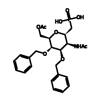 CC(=O)N[C@H]1[C@@H](OCc2ccccc2)[C@H](OCc2ccccc2)[C@@H](COC(C)=O)O[C@@H]1CP(=O)(O)O